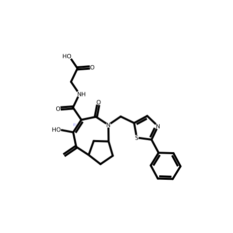 C=C1/C(O)=C(/C(=O)NCC(=O)O)C(=O)N(Cc2cnc(-c3ccccc3)s2)C2CCC1C2